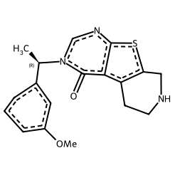 COc1cccc([C@@H](C)n2cnc3sc4c(c3c2=O)CCNC4)c1